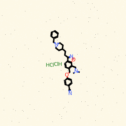 CN(C)Cc1c(COc2ccc(C#N)cc2)ccc2c(CCC3CCN(Cc4ccccc4)CC3)noc12.Cl.Cl